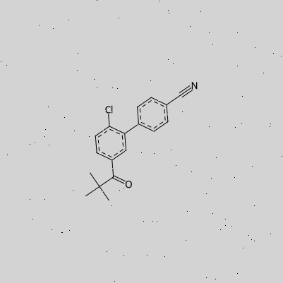 CC(C)(C)C(=O)c1ccc(Cl)c(-c2ccc(C#N)cc2)c1